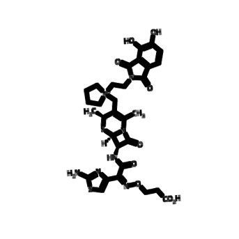 CC1=C(C[N+]2(CCN3C(=O)c4ccc(O)c(O)c4C3=O)CCCC2)[C@H](C)S[C@@H]2[C@H](NC(=O)/C(=N\OCCC(=O)O)c3csc(N)n3)C(=O)N12